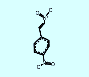 O=[N+]([O-])C=Cc1ccc([N+](=O)[O-])cc1